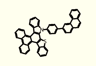 c1ccc2c(c1)ccc1ccc(-c3ccc(-n4c5ccccc5c5c6c7ccccc7c7ccccc7c6c6c7ccccc7sc6c54)cc3)cc12